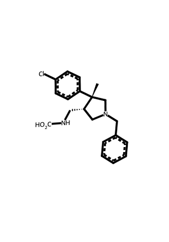 C[C@@]1(c2ccc(Cl)cc2)CN(Cc2ccccc2)C[C@@H]1CNC(=O)O